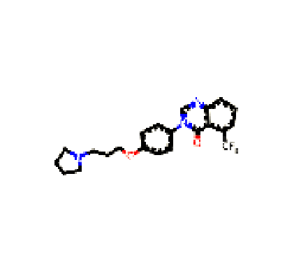 O=c1c2c(C(F)(F)F)cccc2ncn1-c1ccc(OCCCN2CCCC2)cc1